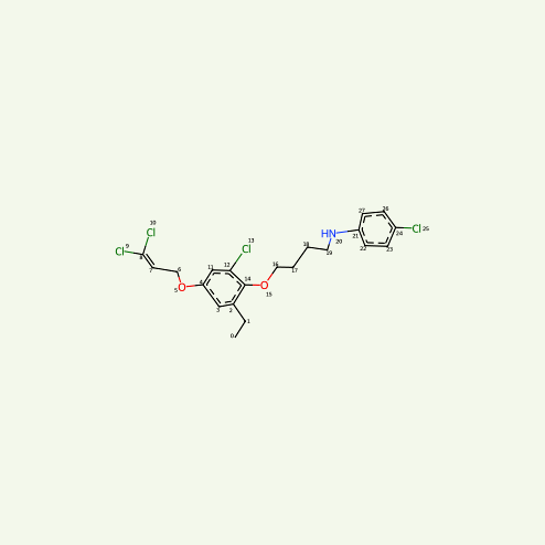 CCc1cc(OCC=C(Cl)Cl)cc(Cl)c1OCCCCNc1ccc(Cl)cc1